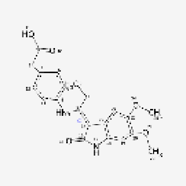 CC/C(Nc1ccc(CC(=O)O)cc1)=C1/C(=O)Nc2cc(OC)c(OC)cc21